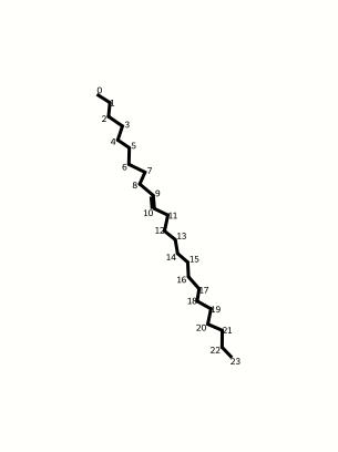 CCCCCCCCCC=CCCCCCCCCCCCCC